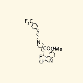 COc1ccc2ncc(Cl)c(C(F)CCC3(C(=O)O)CCN(CCCSc4ccc(C(F)(F)F)cc4)CC3)c2c1